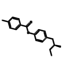 CC[C@H](C)Cc1ccc(OC(=O)c2ccc(C)cc2)cc1